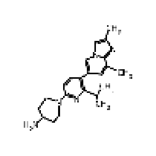 Cc1cn2cc(-c3ccc(N4CCC(N)CC4)nc3C(C)C)cc(C)c2n1